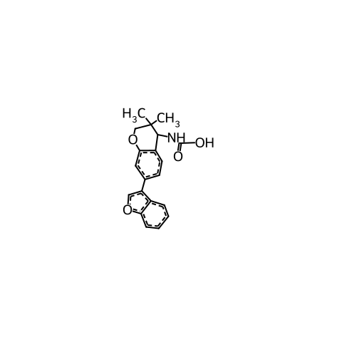 CC1(C)COc2cc(-c3coc4ccccc34)ccc2C1NC(=O)O